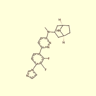 CN(c1ccc(-c2ccc(-n3ccnc3)c(F)c2F)nn1)C1C[C@H]2CC[C@@H](C1)N2